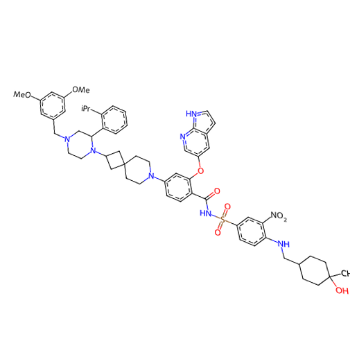 COc1cc(CN2CCN(C3CC4(CCN(c5ccc(C(=O)NS(=O)(=O)c6ccc(NCC7CCC(C)(O)CC7)c([N+](=O)[O-])c6)c(Oc6cnc7[nH]ccc7c6)c5)CC4)C3)C(c3ccccc3C(C)C)C2)cc(OC)c1